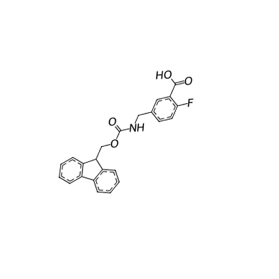 O=C(NCc1ccc(F)c(C(=O)O)c1)OCC1c2ccccc2-c2ccccc21